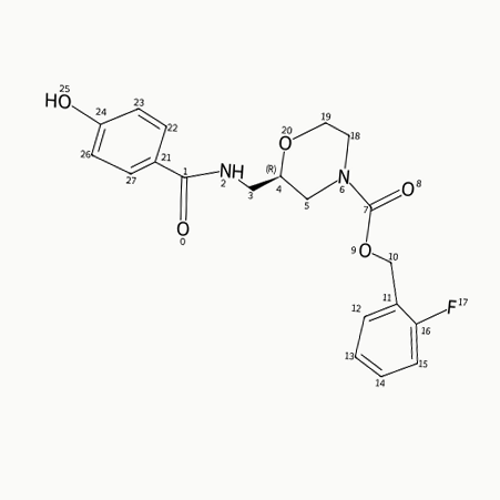 O=C(NC[C@@H]1CN(C(=O)OCc2ccccc2F)CCO1)c1ccc(O)cc1